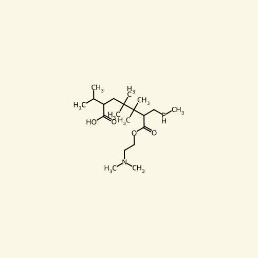 CPCC(C(=O)OCCN(C)C)C(C)(C)C(C)(C)CC(C(=O)O)C(C)C